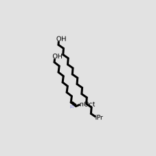 CC(C)CCCCCCCCCCCCCCCO.CCCCCCCC/C=C\CCCCCCCCO